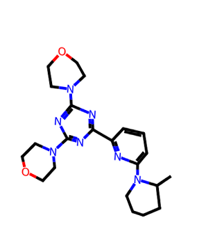 CC1CCCCN1c1cccc(-c2nc(N3CCOCC3)nc(N3CCOCC3)n2)n1